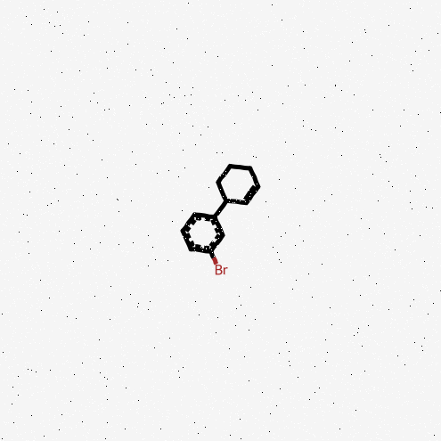 Brc1cccc(C2C=CCCC2)c1